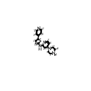 CN1CCN(c2ccnc(Nc3ncc(-c4ccncc4)s3)c2)CC1